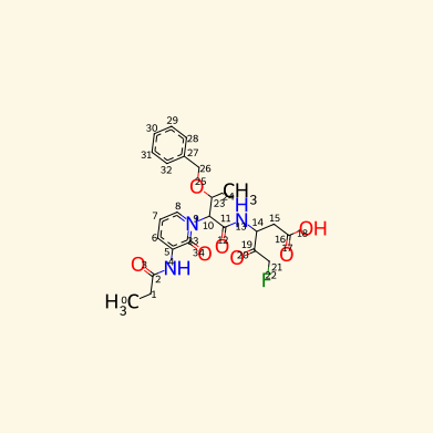 CCC(=O)Nc1cccn(C(C(=O)NC(CC(=O)O)C(=O)CF)C(C)OCc2ccccc2)c1=O